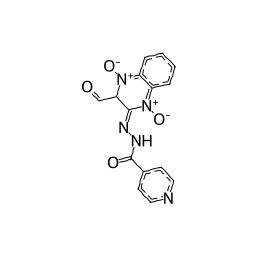 O=CC1C(=NNC(=O)c2ccncc2)[N+]([O-])=c2ccccc2=[N+]1[O-]